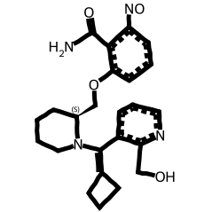 NC(=O)c1c(N=O)cccc1OC[C@@H]1CCCCN1C(=C1CCC1)c1cccnc1CO